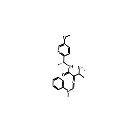 COc1ccc([C@@H](C)NC(=O)C(=C=CN(C)c2ccccc2)C(C)N)nc1